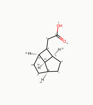 O=C(O)CC1[C@H]2CC[C@H]3CC[C@@H]1[C@H]32